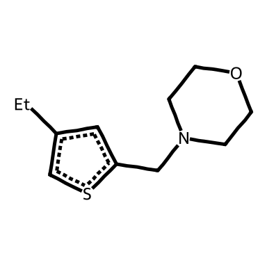 CCc1csc(CN2CCOCC2)c1